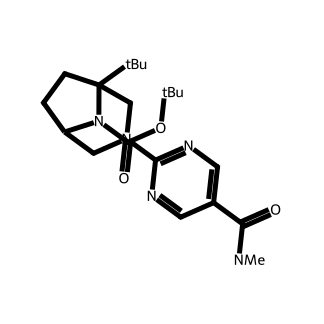 CNC(=O)c1cnc(N2CC3CCC(C(C)(C)C)(C2)N3C(=O)OC(C)(C)C)nc1